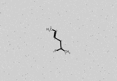 C/C=C/CC(C)F